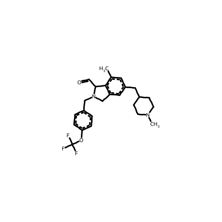 Cc1cc(CC2CCN(C)CC2)cc2c1C(C=O)N(Cc1ccc(OC(F)(F)F)cc1)C2